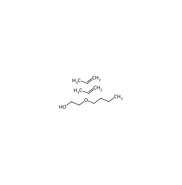 C=CC.C=CC.CCCCOCCO